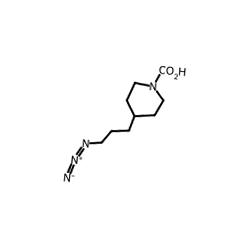 [N-]=[N+]=NCCCC1CCN(C(=O)O)CC1